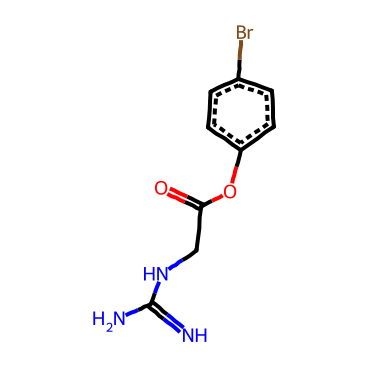 N=C(N)NCC(=O)Oc1ccc(Br)cc1